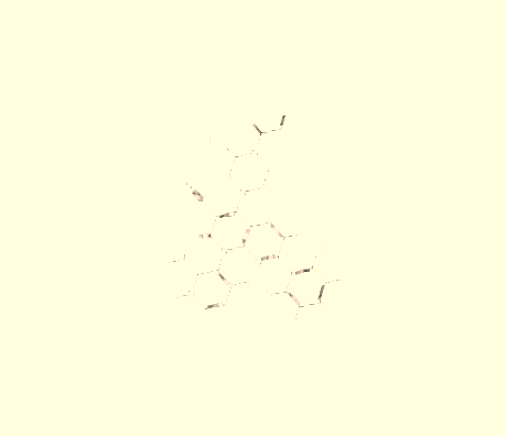 C=CC(=O)N1CCN(c2c(C#N)c(=O)n(C3=C(C)C=CN(C)C3C(C)C)c3nc(-c4c(F)c(F)c(Cl)c(O)c4Cl)c(Cl)cc23)C[C@H]1C